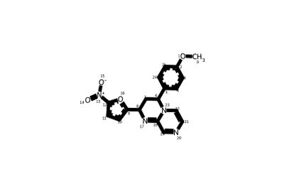 COc1ccc(C2CC(c3ccc([N+](=O)[O-])o3)N=C3C=NC=CN32)cc1